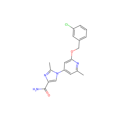 Cc1cc(-n2cc(C(N)=O)nc2C)cc(OCc2cccc(Cl)c2)n1